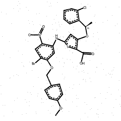 COc1ccc(COc2cc(Nc3cc(O[C@H](C)c4ccccc4Cl)c(C(=O)O)s3)c([N+](=O)[O-])cc2Br)cc1